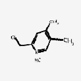 Cc1cnc(CCl)cc1C.Cl